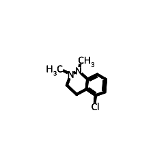 CN1CCc2c(Cl)cccc2N1C